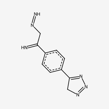 N=NCC(=N)c1ccc(C2=NN=NC2)cc1